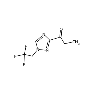 CCC(=O)c1ncn(CC(F)(F)F)n1